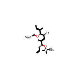 C=CC[C@H](O[Si](C)(C)C(C)(C)C)/C(C)=C/[C@H](CC)[C@@H](OCOC)/C(C)=C/C